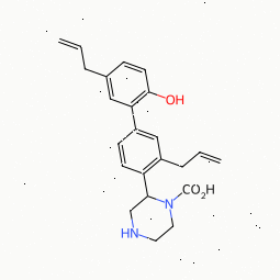 C=CCc1ccc(O)c(-c2ccc(C3CNCCN3C(=O)O)c(CC=C)c2)c1